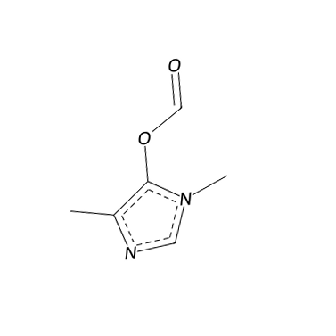 Cc1ncn(C)c1OC=O